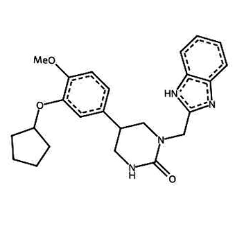 COc1ccc(C2CNC(=O)N(Cc3nc4ccccc4[nH]3)C2)cc1OC1CCCC1